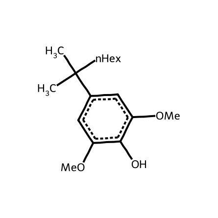 CCCCCCC(C)(C)c1cc(OC)c(O)c(OC)c1